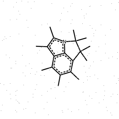 Cc1c(C)c2c3c(c1C)c(C)c(C)n3C(C)(C)C2(C)C